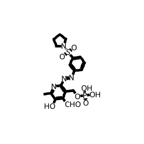 Cc1nc(N=Nc2cccc(S(=O)(=O)N3CCCC3)c2)c(COP(=O)(O)O)c(C=O)c1O